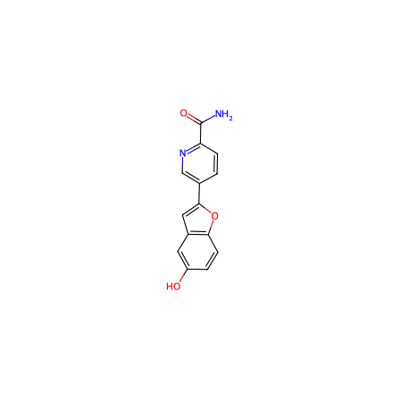 NC(=O)c1ccc(-c2cc3cc(O)ccc3o2)cn1